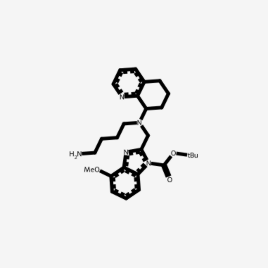 COc1cccc2c1nc(CN(CCCCN)C1CCCc3cccnc31)n2C(=O)OC(C)(C)C